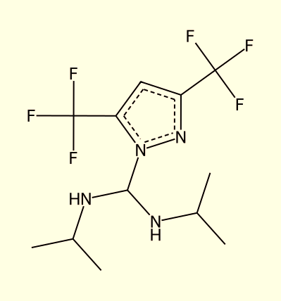 CC(C)NC(NC(C)C)n1nc(C(F)(F)F)cc1C(F)(F)F